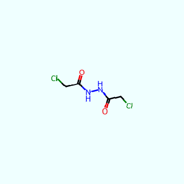 O=C(CCl)NNC(=O)CCl